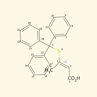 C/C(=C\C(=O)O)SC(c1ccccc1)(c1ccccc1)c1ccccc1